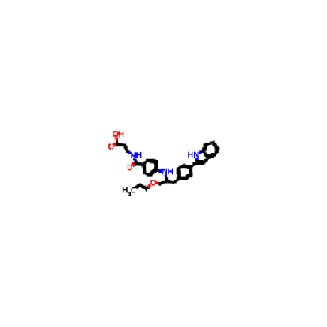 CCCOCC(Cc1ccc(-c2cc3ccccc3[nH]2)cc1)Nc1ccc(C(=O)NCCC(=O)O)cc1